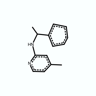 Cc1ccnc(NC(C)c2ccccc2)c1